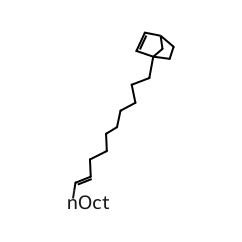 CCCCCCCCC=CCCCCCCCCC12C=CC(CC1)C2